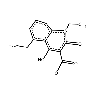 CCc1cccc2c1c(O)c(C(=O)O)c(=O)n2CC